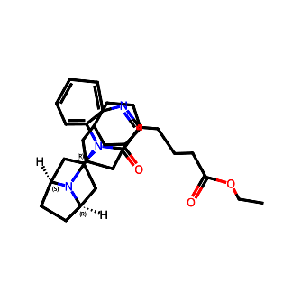 CCOC(=O)CCCc1nc2ccccc2n([C@H]2C[C@H]3CC[C@@H](C2)N3C2CC3CCCC(C3)C2)c1=O